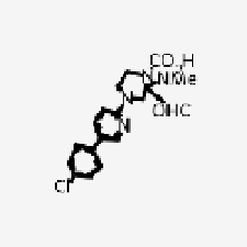 CNC1(CC=O)CN(c2ccc(-c3ccc(Cl)cc3)cn2)CCN1C(=O)O